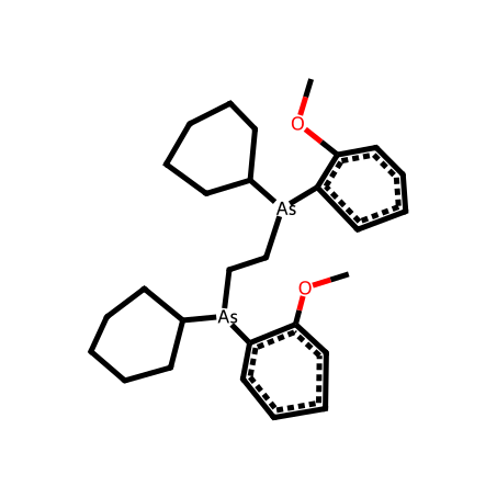 COc1ccccc1[As](CC[As](c1ccccc1OC)C1CCCCC1)C1CCCCC1